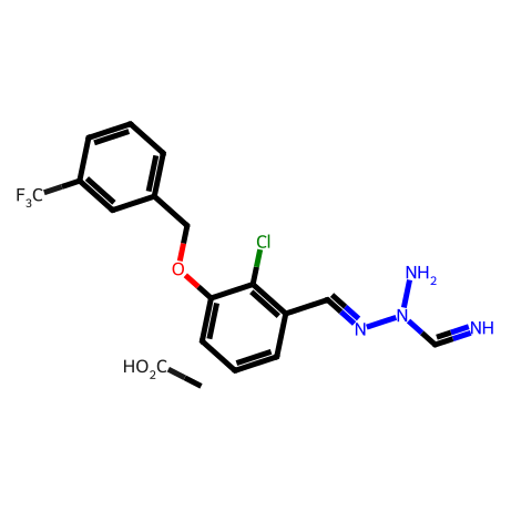 CC(=O)O.N=CN(N)/N=C/c1cccc(OCc2cccc(C(F)(F)F)c2)c1Cl